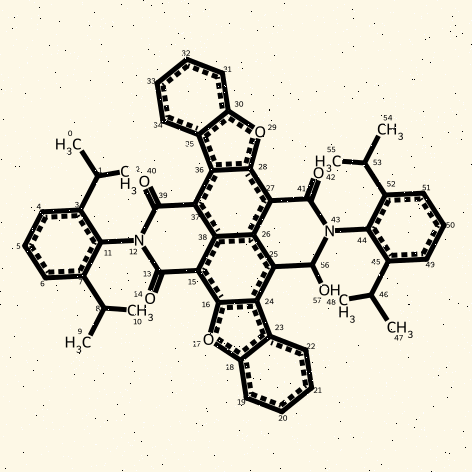 CC(C)c1cccc(C(C)C)c1N1C(=O)c2c3oc4ccccc4c3c3c4c(c5oc6ccccc6c5c(c24)C1=O)C(=O)N(c1c(C(C)C)cccc1C(C)C)C3O